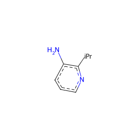 CC(C)c1ncccc1N